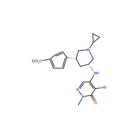 CCOC(=O)c1ccc([C@H]2C[C@@H](Nc3cnn(C)c(=O)c3Br)CN(C3CC3)C2)cc1